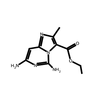 CCOC(=O)c1c(C)nc2cc(N)nc(N)n12